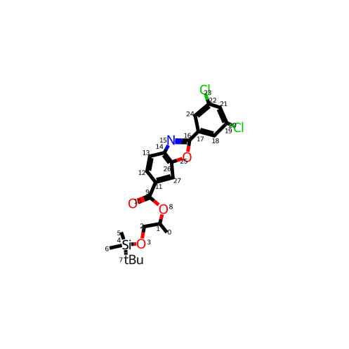 CC(CO[Si](C)(C)C(C)(C)C)OC(=O)c1ccc2nc(-c3cc(Cl)cc(Cl)c3)oc2c1